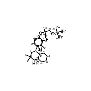 Cc1c(N2CC(C)(C)N[C@@H]3CCCC[C@@H]32)ccc(OC(F)(F)CO[Si](C(C)C)(C(C)C)C(C)C)c1F